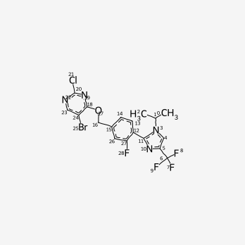 CC(C)n1cc(C(F)(F)F)nc1-c1ccc(COc2nc(Cl)ncc2Br)cc1F